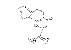 NC(=O)c1cc(=O)c2ccc3ccccc3c2o1